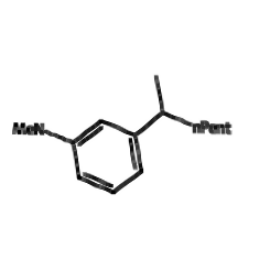 CCCCCC(C)c1cccc(NC)c1